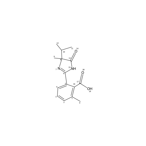 Cc1cccc(C2=NC(C)(C(C)C)C(=O)N2)c1C(=O)O